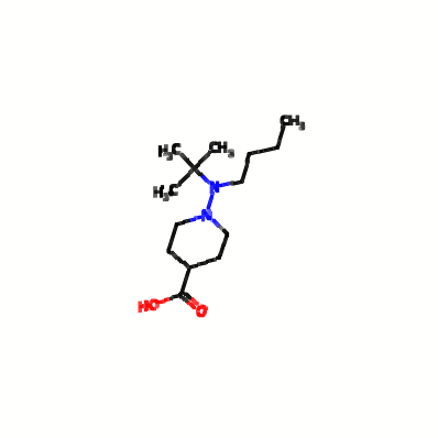 CCCCN(N1CCC(C(=O)O)CC1)C(C)(C)C